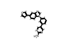 Nc1ncc(-c2cccc(-n3cnc4cc(-c5ccoc5)ccc43)c2)cn1